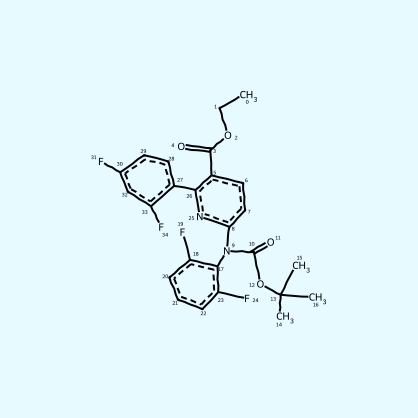 CCOC(=O)c1ccc(N(C(=O)OC(C)(C)C)c2c(F)cccc2F)nc1-c1ccc(F)cc1F